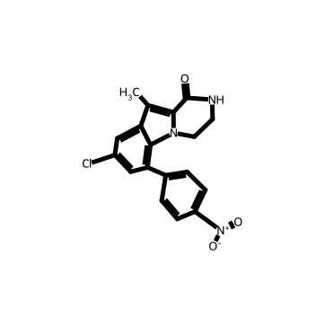 Cc1c2n(c3c(-c4ccc([N+](=O)[O-])cc4)cc(Cl)cc13)CCNC2=O